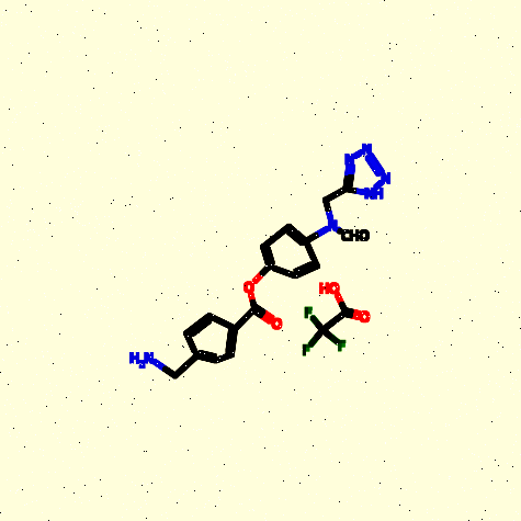 NCc1ccc(C(=O)Oc2ccc(N(C=O)Cc3nnn[nH]3)cc2)cc1.O=C(O)C(F)(F)F